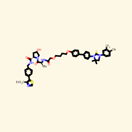 CCOC(=O)c1ncsc1-c1ccc(CNC(=O)[C@@H]2C[C@@H](O)CN2C(=O)[C@@H](NC(=O)COCCCCOc2ccc(-c3ccc(N4C(=S)N(c5ccc(C#N)c(C(F)(F)F)c5)CC4(C)C)cc3)cc2)C(C)(C)C)cc1